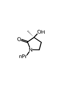 CCCN1CC[C@](C)(O)C1=O